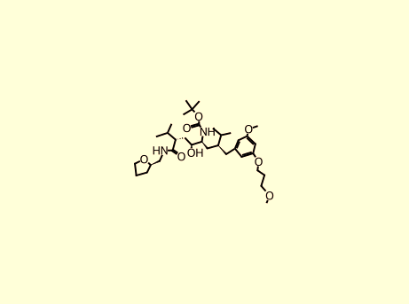 COCCCOc1cc(C[C@@H](C[C@H](NC(=O)OC(C)(C)C)[C@@H](O)C[C@H](C(=O)NC[C@H]2CCCO2)C(C)C)C(C)C)cc(OC)c1